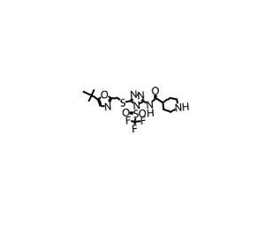 CC(C)(C)c1cnc(CSc2nnc(NC(=O)C3CCNCC3)n2S(=O)(=O)C(F)(F)F)o1